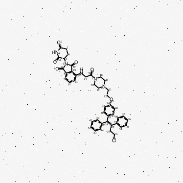 O=C1CCC(N2C(=O)c3cccc(NCC(=O)N4CCN(CCOc5ccc(/C(=C(/CCCl)c6ccccc6)c6ccccc6)cc5)CC4)c3C2=O)C(=O)N1